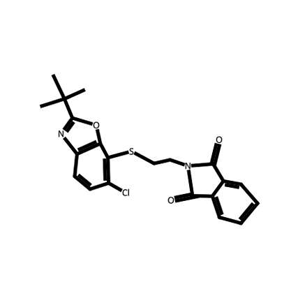 CC(C)(C)c1nc2ccc(Cl)c(SCCN3C(=O)c4ccccc4C3=O)c2o1